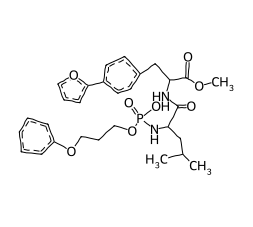 COC(=O)C(Cc1ccc(-c2ccco2)cc1)NC(=O)C(CC(C)C)NP(=O)(O)OCCCOc1ccccc1